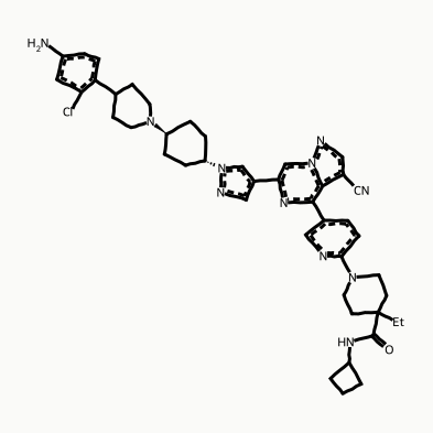 CCC1(C(=O)NC2CCC2)CCN(c2ccc(-c3nc(-c4cnn([C@H]5CC[C@H](N6CCC(c7ccc(N)cc7Cl)CC6)CC5)c4)cn4ncc(C#N)c34)cn2)CC1